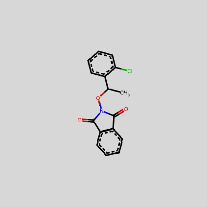 CC(ON1C(=O)c2ccccc2C1=O)c1ccccc1Cl